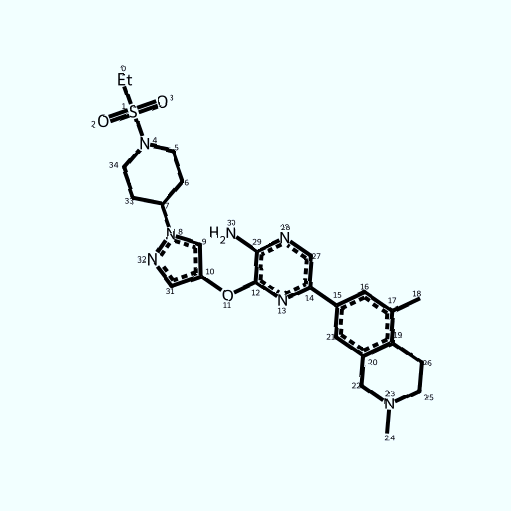 CCS(=O)(=O)N1CCC(n2cc(Oc3nc(-c4cc(C)c5c(c4)CN(C)CC5)cnc3N)cn2)CC1